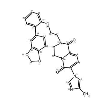 Cc1cn(-c2ccc3n(c2=O)CCN(CCOc2ccccc2-c2ccc4c(c2)OCO4)C3=O)cn1